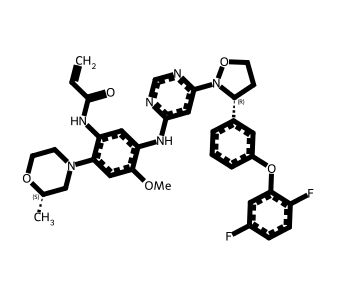 C=CC(=O)Nc1cc(Nc2cc(N3OCC[C@@H]3c3cccc(Oc4cc(F)ccc4F)c3)ncn2)c(OC)cc1N1CCO[C@@H](C)C1